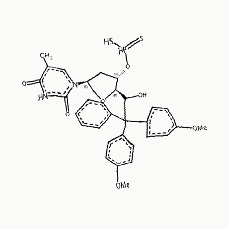 COc1ccc(C(c2ccccc2)(c2ccc(OC)cc2)C(O)[C@H]2O[C@@H](n3cc(C)c(=O)[nH]c3=O)C[C@@H]2O[PH](=S)S)cc1